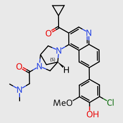 COc1cc(-c2ccc3ncc(C(=O)C4CC4)c(N4CC5C[C@H]4CN5C(=O)CN(C)C)c3c2)cc(Cl)c1O